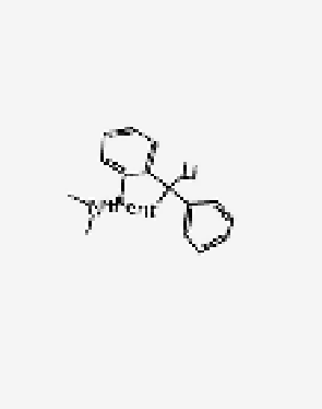 [Li][C](CCCCC)(c1ccccc1)c1ccccc1CN(C)C